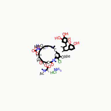 COc1cc2cc(c1Cl)N(C)C(=O)C[C@H](OC(=O)[C@H](C)N(C)C(C)=O)[C@]1(C)O[C@H]1[C@H](C)[C@@H]1C[C@@](O)(NC(=O)O1)[C@H](OC)/C=C\C=C(\C)C2.C[C@H](Cc1ccc(O)c(O)c1)[C@@H](C)Cc1ccc(O)c(O)c1.Cl.N